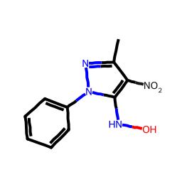 Cc1nn(-c2ccccc2)c(NO)c1[N+](=O)[O-]